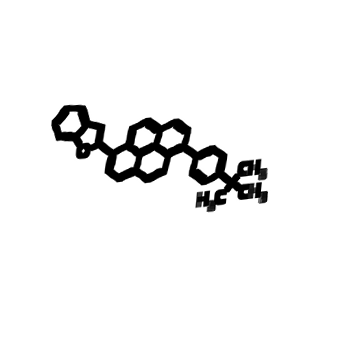 CC(C)(C)c1ccc(-c2ccc3ccc4c(-c5cc6ccccc6o5)ccc5ccc2c3c54)cc1